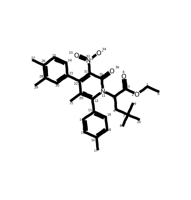 CCOC(=O)C(CC(C)(C)C)n1c(-c2ccc(C)cc2)c(C)c(-c2ccc(C)c(C)c2)c([N+](=O)[O-])c1=O